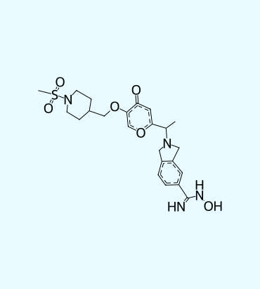 CC(c1cc(=O)c(OCC2CCN(S(C)(=O)=O)CC2)co1)N1Cc2ccc(C(=N)NO)cc2C1